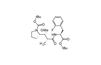 CO[C@H]([C@@H](C)C(=O)N[C@@H](Cc1ccccc1F)C(=O)OC(C)(C)C)[C@@H]1CCCN1C(=O)OC(C)(C)C